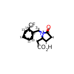 O=C(O)CC1CCC(=O)N1Cc1ccccc1C(F)(F)F